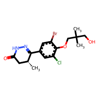 C[C@@H]1CC(=O)NN=C1c1cc(Cl)c(OCC(C)(C)CO)c(Br)c1